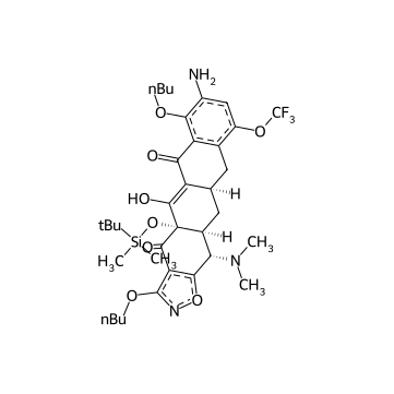 CCCCOc1noc2c1C(=O)[C@@]1(O[Si](C)(C)C(C)(C)C)C(O)=C3C(=O)c4c(c(OC(F)(F)F)cc(N)c4OCCCC)C[C@H]3C[C@H]1[C@@H]2N(C)C